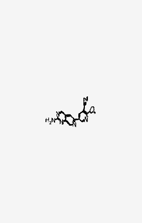 COc1ncc(-c2cc3cnc(N)nc3cn2)cc1C#N